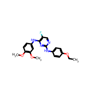 CCOc1ccc(Nc2ncc(F)c(Nc3ccc(OC)c(OC)c3)n2)cc1